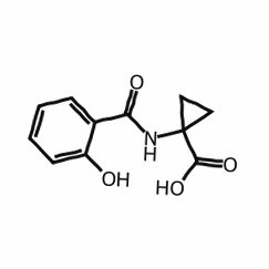 O=C(NC1(C(=O)O)CC1)c1ccccc1O